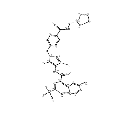 Cc1nn(Cc2ccc(C(=O)NC[C@@H]3CCCO3)cc2)c(C)c1NC(=O)c1cc(C(F)(F)F)nc2ccc(Br)cc12